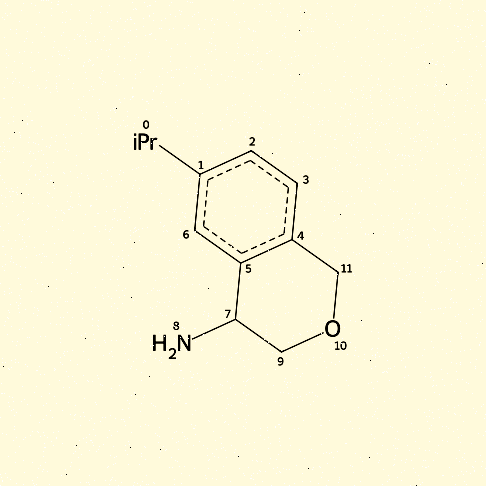 CC(C)c1ccc2c(c1)C(N)COC2